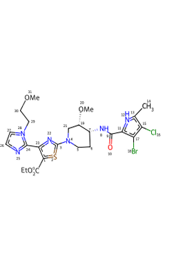 CCOC(=O)c1sc(N2CC[C@@H](NC(=O)c3[nH]c(C)c(Cl)c3Br)[C@@H](OC)C2)nc1-c1nccn1CCOC